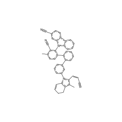 C#C/C=C\c1c(C)c2c(n1-c1cccc(-c3ccccc3-c3ccc(C)c(C#N)c3-n3c4ccccc4c4ccc(C#N)cc43)c1)C=CCC2